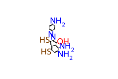 Nc1ccc(/N=N/c2c(S)cc3c(S)cc(N)c(N)c3c2O)cc1